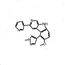 COc1ccc2[nH]c3cnc(-c4cccnc4)cc3c2c1-c1cnn(C)c1